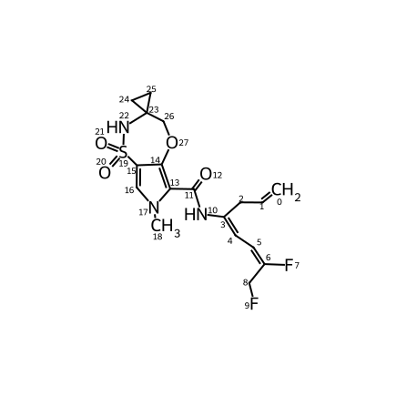 C=CC/C(=C\C=C(\F)CF)NC(=O)c1c2c(cn1C)S(=O)(=O)NC1(CC1)CO2